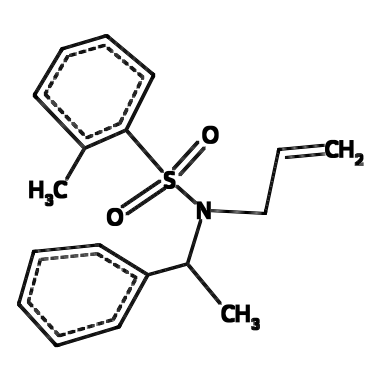 C=CCN(C(C)c1ccccc1)S(=O)(=O)c1ccccc1C